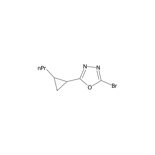 CCCC1CC1c1nnc(Br)o1